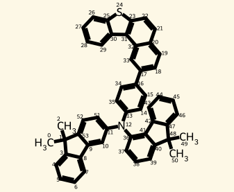 CC1(C)c2ccccc2-c2cc(N(c3ccc(-c4ccc5ccc6sc7ccccc7c6c5c4)cc3)c3cccc4c3-c3ccccc3C4(C)C)ccc21